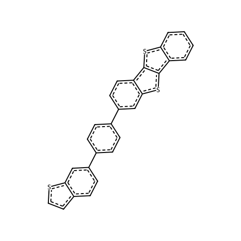 c1ccc2c(c1)sc1c3ccc(-c4ccc(-c5ccc6ccsc6c5)cc4)cc3sc21